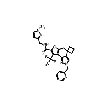 Cn1ccc(CNC(=O)c2oc3c(c2C(C)(F)F)-c2nn(Cc4ccccn4)cc2C2(CCC2)C3)n1